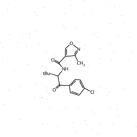 Cc1nocc1C(=O)NC(C(=O)c1ccc(Cl)cc1)C(C)(C)C